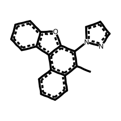 Cc1c(-n2cccn2)c2oc3ccccc3c2c2ccccc12